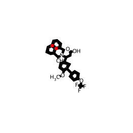 COc1ccc(C(CC(=O)O)N(Cc2ccccc2)[C@H](C)c2ccccc2)cc1-c1ccc(OC(F)(F)F)cc1